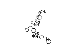 COc1ccc2nc(NC(=O)C(CC3CCCC3)c3ccc(S(=O)(=O)NC4=CCC(CN5CCCCC5)C=C4)cc3)sc2n1